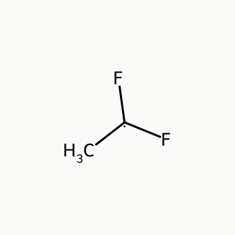 C[C](F)F